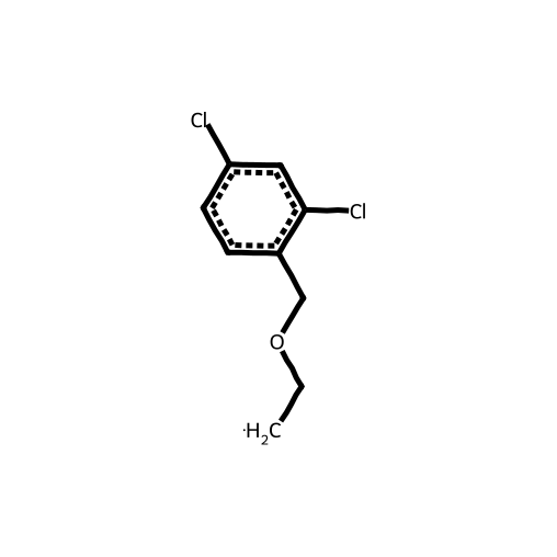 [CH2]COCc1ccc(Cl)cc1Cl